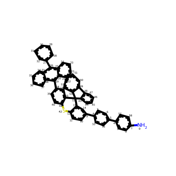 Nc1ccc(-c2ccc(-c3ccc4c(c3)C3(c5cc(-c6c7ccccc7c(-c7ccccc7)c7ccccc67)ccc5S4)c4ccccc4-c4ccccc43)cc2)cc1